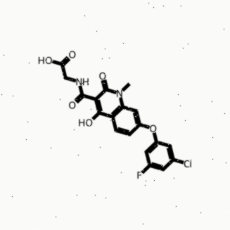 Cn1c(=O)c(C(=O)NCC(=O)O)c(O)c2ccc(Oc3cc(F)cc(Cl)c3)cc21